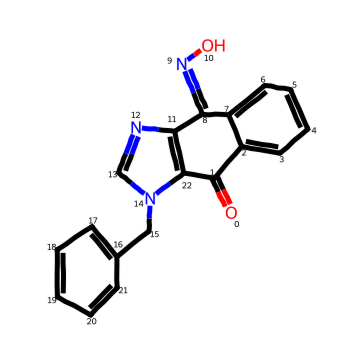 O=C1c2ccccc2/C(=N\O)c2ncn(Cc3ccccc3)c21